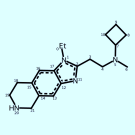 CCn1c(CCN(C)C2CCC2)nc2cc3c(cc21)CCNC3